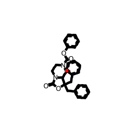 O=C(Oc1ccccc1)N1CCN2C(=O)OC(Cc3ccccc3)(Cc3ccccc3)C2C1